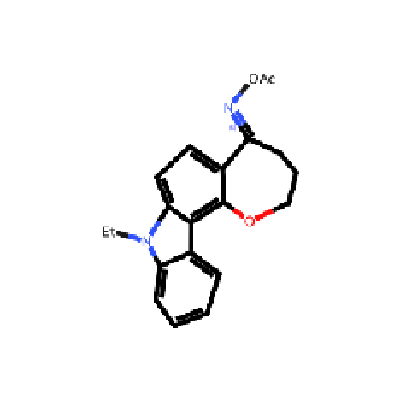 CCn1c2ccccc2c2c3c(ccc21)/C(=N/OC(C)=O)CCCO3